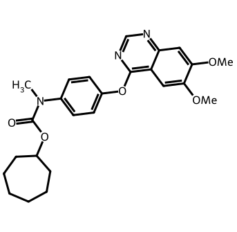 COc1cc2ncnc(Oc3ccc(N(C)C(=O)OC4CCCCCC4)cc3)c2cc1OC